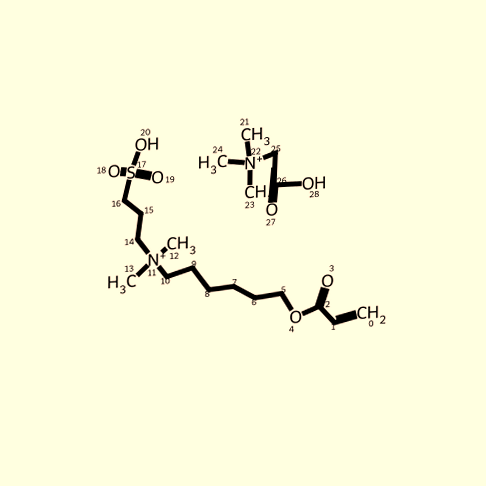 C=CC(=O)OCCCCCC[N+](C)(C)CCCS(=O)(=O)O.C[N+](C)(C)CC(=O)O